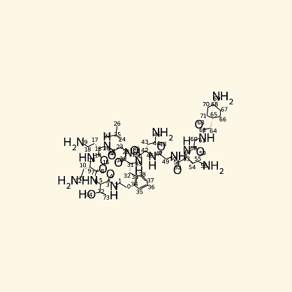 CCNC(=O)C(NC(=O)[C@H](CCN)NC(=O)[C@H](CCN)NC(=O)[C@H](CC(C)C)NC(=O)[C@@H](Cc1ccccc1)NC(=O)[C@H](CCN)NC(=O)CNC(=O)[C@H](CCN)NC(=O)CNC(=O)C[C@H]1CC[C@@H](N)CC1)C(C)O